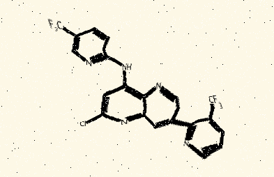 FC(F)(F)c1ccc(Nc2cc(Cl)nc3cc(-c4ncccc4C(F)(F)F)cnc23)nc1